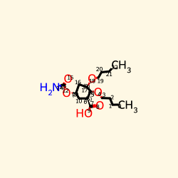 CCCCO[C@@H]1[C@@H](C(=O)O)C[C@H](OC(N)=O)C[C@H]1OCCCC